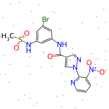 CS(=O)(=O)Nc1cc(Br)cc(NC(=O)c2cnn(-c3ncccc3[N+](=O)[O-])c2)c1